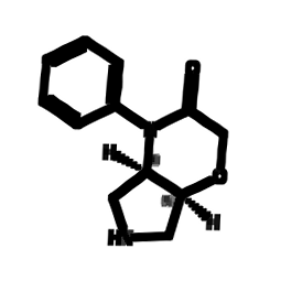 O=C1CO[C@H]2CNC[C@H]2N1c1ccccc1